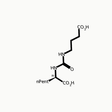 CCCCC[C@@H](NC(=O)NCCCC(=O)O)C(=O)O